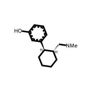 CNC[C@@H]1CCCC[C@H]1c1cccc(O)c1